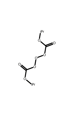 CC(C)OC(=O)OOOC(=O)OC(C)C